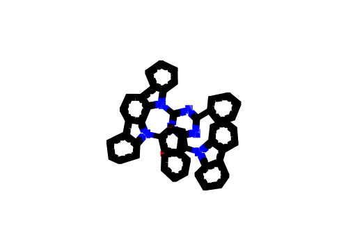 c1ccc(-c2nc(-c3ccccc3)nc(-n3c4ccccc4c4ccc5c6ccccc6n(-c6ccc(-n7c8ccccc8c8ccccc87)cc6)c5c43)n2)cc1